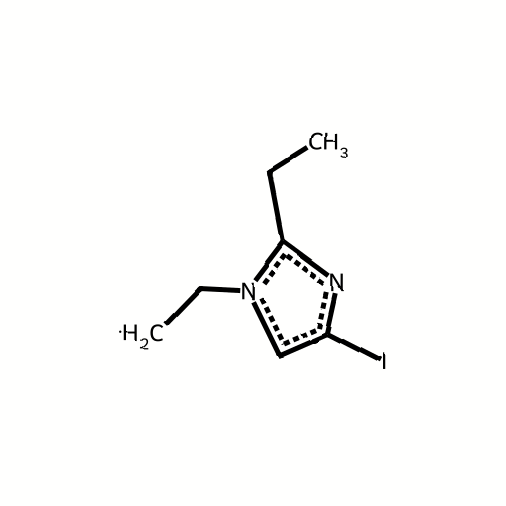 [CH2]Cn1cc(I)nc1CC